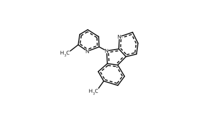 Cc1ccc2c3cccnc3n(-c3cccc(C)n3)c2c1